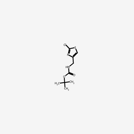 CC(C)(C)OC(=O)NCc1csc(Cl)n1